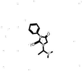 CC(N1CC(=O)N(c2ccccc2)C1=O)[S+](C)C.[I-]